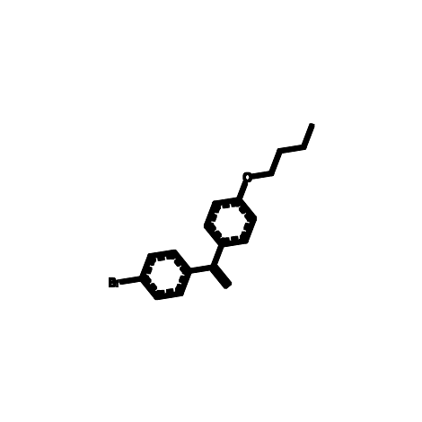 C=C(c1ccc(Br)cc1)c1ccc(OCCCC)cc1